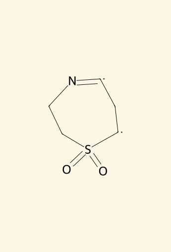 O=S1(=O)[CH]C[C]=NCC1